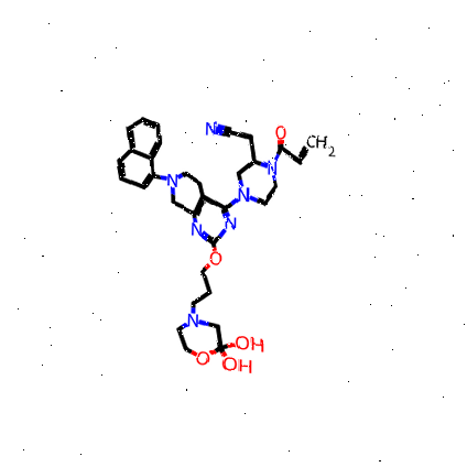 C=CC(=O)N1CCN(c2nc(OCCCN3CCOC(O)(O)C3)nc3c2CCN(c2cccc4ccccc24)C3)CC1CC#N